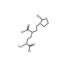 CCC(=O)N(C)CCN(CCN1CCOC1CC)C(=O)CC